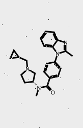 Cc1nc2ccccc2n1-c1ccc(C(=O)N(C)[C@@H]2CCN(CC3CC3)C2)cc1